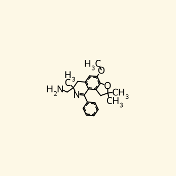 COc1cc2c(c3c1OC(C)(C)C3)C(c1ccccc1)=NC(C)(CN)C2